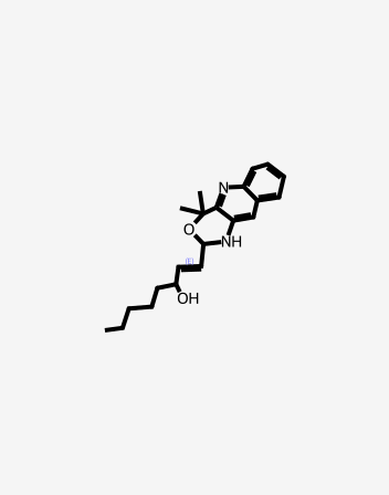 CCCCCC(O)/C=C/C1Nc2cc3ccccc3nc2C(C)(C)O1